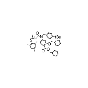 Cc1cc(C)c(SN(C)CC(=O)N(Cc2ccc(C(C)(C)C)cc2)c2ccc(C(=O)OCc3ccccc3)c(OCc3ccccc3)c2)c(C)c1